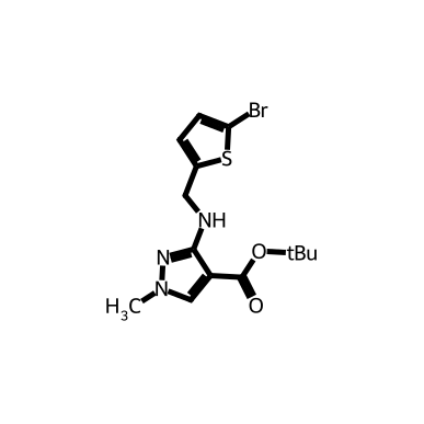 Cn1cc(C(=O)OC(C)(C)C)c(NCc2ccc(Br)s2)n1